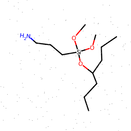 CCCC(CCC)O[Si](CCCN)(OC)OC